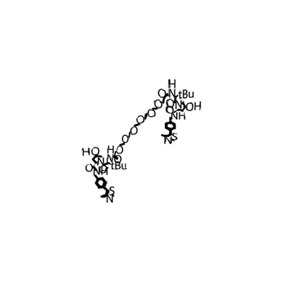 Cc1ncsc1-c1ccc(CNC(=O)[C@@H]2C[C@@H](O)CN2C(=O)[C@@H](NC(=O)COCCOCCOCCOCCOCCOCC2OC2N[C@H](C(=O)N2C[C@H](O)C[C@H]2C(=O)NCc2ccc(-c3scnc3C)cc2)C(C)(C)C)C(C)(C)C)cc1